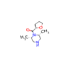 C[C@@H]1CNC[C@H](C)N1C(=O)C1CCCO1